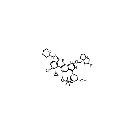 CC(C)(C)[Si](C)(C)OC[C@@H]1C[C@@H]1c1c(Cl)cc2c(cnn2C2CCCCO2)c1-c1ncc2c(N3CCC[C@@H](O)C3)nc(OC[C@@]34CCCN3C[C@H](F)C4)nc2c1F